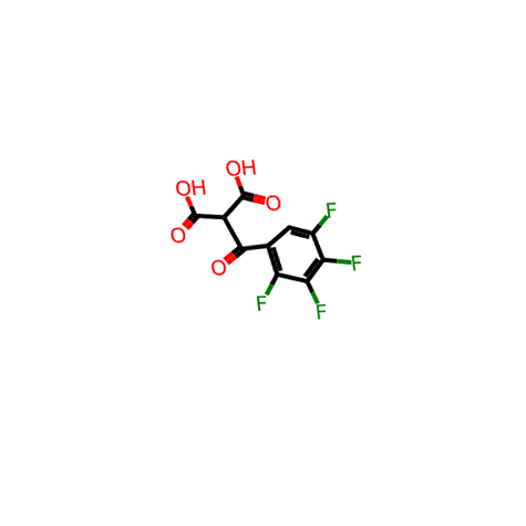 O=C(O)C(C(=O)O)C(=O)c1cc(F)c(F)c(F)c1F